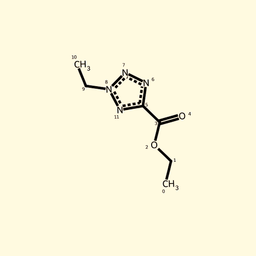 CCOC(=O)c1nnn(CC)n1